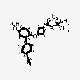 COc1ccc(OC2CN(C(=O)OC(C)(C)C)C2)c(-c2ccc(C#N)cc2)c1